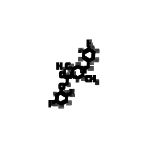 C[C@@H]1CN(C(=O)COc2cc(F)ccc2F)[C@@H](C)CN1Cc1ccc(F)cc1